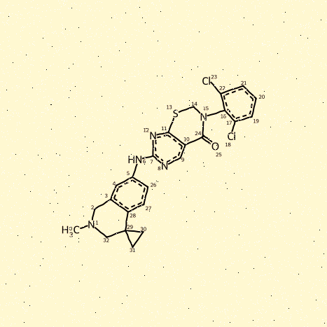 CN1Cc2cc(Nc3ncc4c(n3)SCN(c3c(Cl)cccc3Cl)C4=O)ccc2C2(CC2)C1